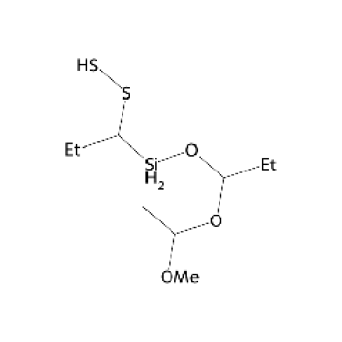 CCC(O[SiH2]C(CC)SS)OC(C)OC